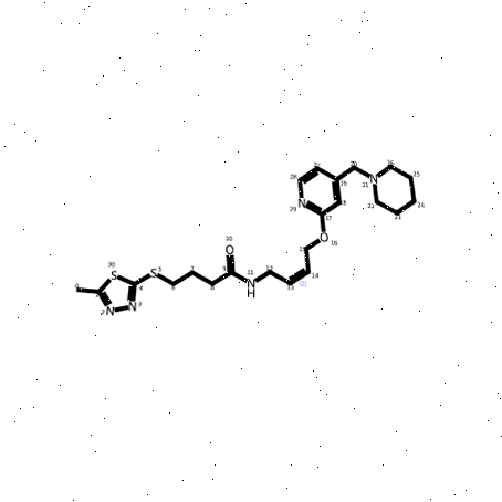 Cc1nnc(SCCCC(=O)NC/C=C\COc2cc(CN3CCCCC3)ccn2)s1